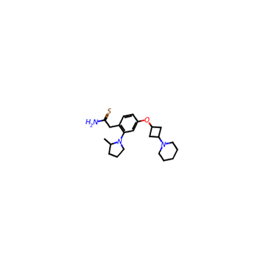 CC1CCCN1c1cc(OC2CC(N3CCCCC3)C2)ccc1CC(N)=S